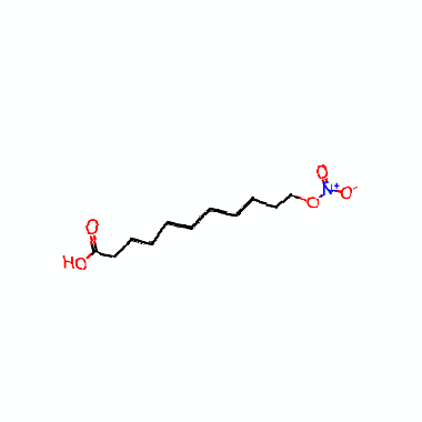 O=C(O)CCCCCCCCCCO[N+](=O)[O-]